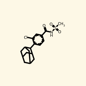 CS(=O)(=O)NC(=O)c1ccc(C2C3CC4CC(C3)CC2C4)c(Cl)c1